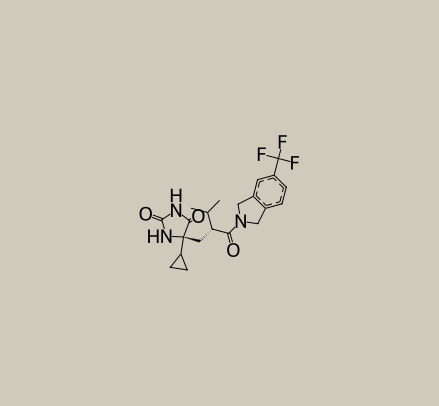 CC(C)[C@@H](C[C@@]1(C2CC2)NC(=O)NC1=O)C(=O)N1Cc2ccc(C(F)(F)F)cc2C1